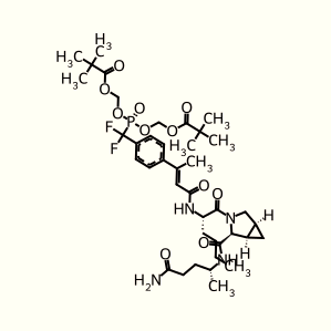 CCCC[C@H](NC(=O)/C=C(\C)c1ccc(C(F)(F)P(=O)(OCOC(=O)C(C)(C)C)OCOC(=O)C(C)(C)C)cc1)C(=O)N1C[C@H]2C[C@H]2[C@H]1C(=O)N[C@H](C)CCC(N)=O